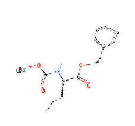 CC(C)(C)OC(=O)N[C@H](CCI)C(=O)OCc1ccccc1